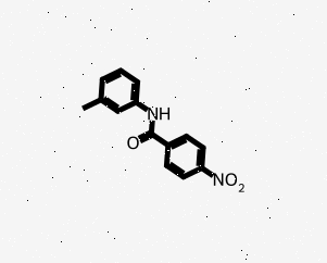 Cc1cccc(NC(=O)c2ccc([N+](=O)[O-])cc2)c1